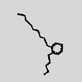 CCCCCCCCCc1[c]cccc1CCCCC